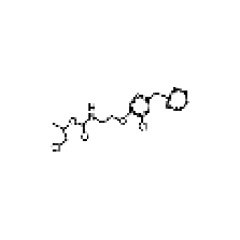 CC(CCl)OC(=O)NCCOc1ccc(Cc2ccccc2)cc1Cl